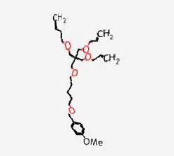 C=CCCOCC(COCC=C)(COCC=C)COCCCCCOCc1ccc(OC)cc1